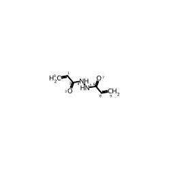 C=CC(=O)NNC(=O)C=C